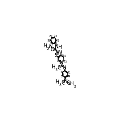 CC(=Nc1ccc(N(C)C)cc1)N1CCc2nc(C(=O)Nc3ccccc3N)sc2C1